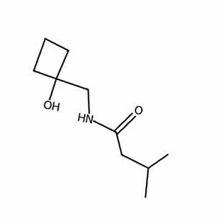 CC(C)CC(=O)NCC1(O)CCC1